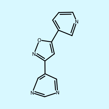 c1cncc(-c2cc(-c3cncnc3)no2)c1